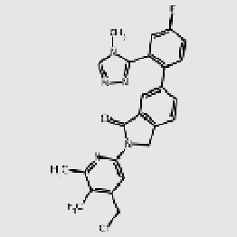 Cc1nc(N2Cc3ccc(-c4ccc(F)cc4-c4nncn4C)cc3C2=O)cc(CCl)c1C(F)(F)F